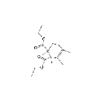 CCOC(=O)C1(C)CCC(C)=C(C)C1(C)C(=O)OCC